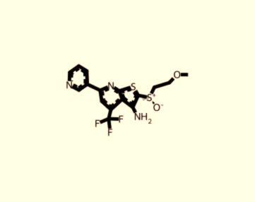 COCC[S@+]([O-])c1sc2nc(-c3cccnc3)cc(C(F)(F)F)c2c1N